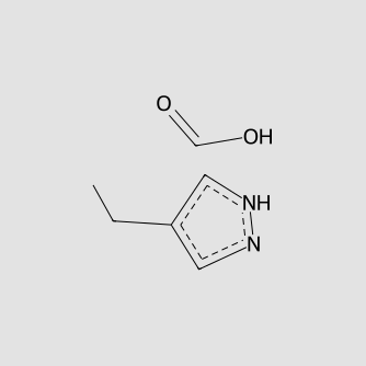 CCc1cn[nH]c1.O=CO